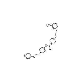 Cc1cccc(CCCN2CCN(C(=O)Oc3ccc(CCSc4ccncc4)cc3)CC2)n1